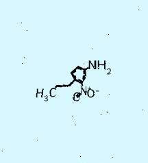 CCCc1ccc(N)cc1[N+](=O)[O-]